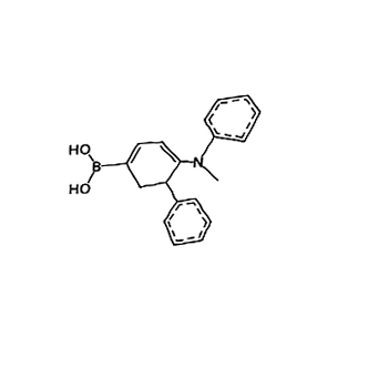 CN(C1=CC=C(B(O)O)CC1c1ccccc1)c1ccccc1